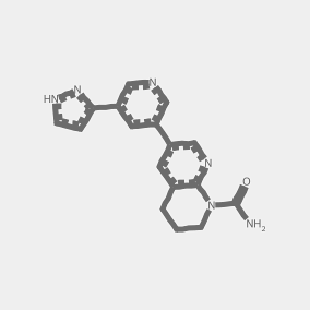 NC(=O)N1CCCc2cc(-c3cncc(-c4cc[nH]n4)c3)cnc21